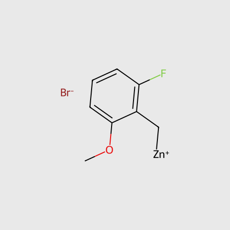 COc1cccc(F)c1[CH2][Zn+].[Br-]